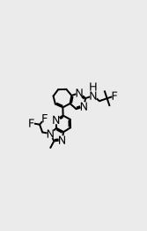 Cc1nc2ccc(C3=CCCCc4nc(NCC(C)(C)F)ncc43)nc2n1CC(F)F